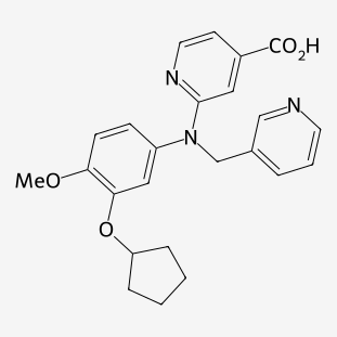 COc1ccc(N(Cc2cccnc2)c2cc(C(=O)O)ccn2)cc1OC1CCCC1